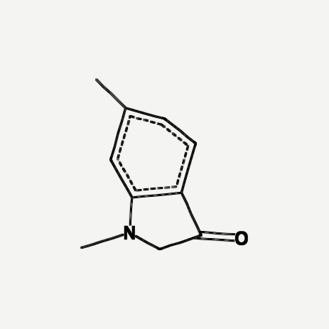 Cc1ccc2c(c1)N(C)CC2=O